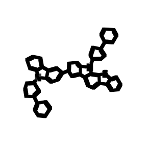 c1ccc(-c2ccc(-n3c4ccc(-c5ccc6c(c5)c5ccccc5n6-c5cccc(-c6ccccc6)c5)cc4c4ccc5c6ccccc6sc5c43)cc2)cc1